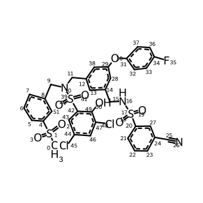 CS(=O)(=O)c1cccc(CN(Cc2cc(CNS(=O)(=O)c3cccc(C#N)c3)cc(Oc3ccc(F)cc3)c2)S(=O)(=O)c2cc(Cl)cc(Cl)c2O)c1